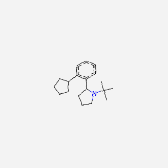 CC(C)(C)N1CCCC1c1ccccc1C1CCCC1